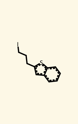 ICCCc1cc2ccccc2s1